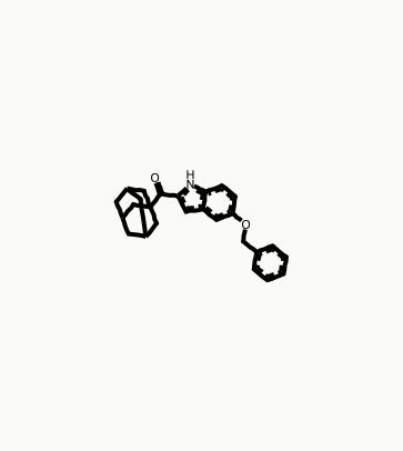 O=C(c1cc2cc(OCc3ccccc3)ccc2[nH]1)C12CC3CC(CC(C3)C1)C2